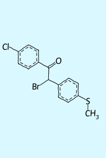 CSc1ccc(C(Br)C(=O)c2ccc(Cl)cc2)cc1